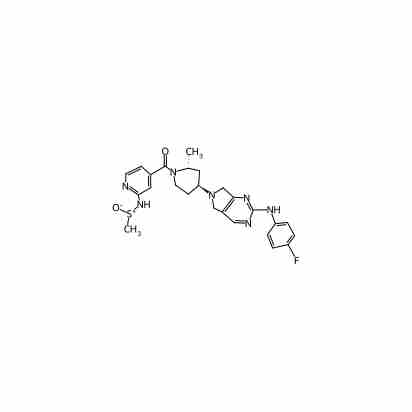 C[C@@H]1C[C@@H](N2Cc3cnc(Nc4ccc(F)cc4)nc3C2)CCN1C(=O)c1ccnc(N[S+](C)[O-])c1